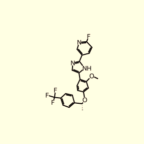 COc1cc(O[C@H](C)c2ccc(C(F)(F)F)cc2)ccc1-c1cnc(-c2ccc(F)nc2)[nH]1